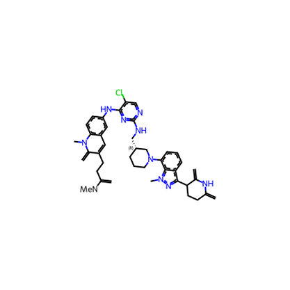 C=C(CCC1=Cc2cc(Nc3nc(NC[C@H]4CCCN(c5cccc6c(C7CCC(=C)NC7=C)nn(C)c56)C4)ncc3Cl)ccc2N(C)C1=C)NC